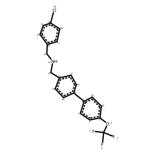 FC(F)(F)Oc1ccc(-c2ccc(CNCc3ccc(Cl)cc3)cc2)cc1